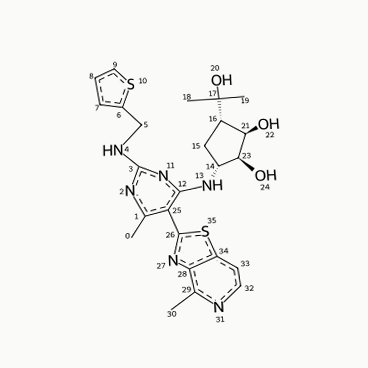 Cc1nc(NCc2cccs2)nc(N[C@@H]2C[C@H](C(C)(C)O)[C@@H](O)[C@H]2O)c1-c1nc2c(C)nccc2s1